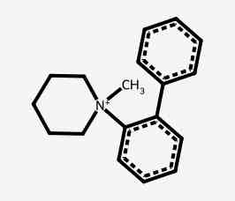 C[N+]1(c2ccccc2-c2ccccc2)CCCCC1